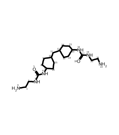 NCCNC(=O)NC1CCC(CC2CCC(NC(=O)NCCN)CC2)CC1